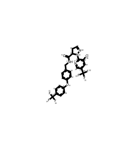 O=C(NCc1ccc(Oc2ccc(C(F)(F)F)cc2)cc1)C1CC=NN1c1ncc(C(F)(F)F)cc1Cl